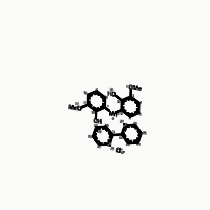 COc1ccc[c]([Mn+][c]2cccc(OC)c2O)c1O.[Cl-].c1ccc(-c2ccccn2)nc1